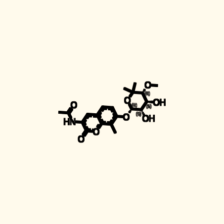 CO[C@@H]1[C@@H](O)[C@H](O)[C@H](Oc2ccc3cc(NC(C)=O)c(=O)oc3c2C)OC1(C)C